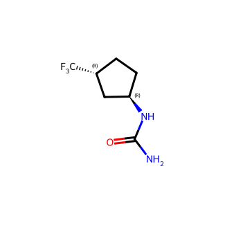 NC(=O)N[C@@H]1CC[C@@H](C(F)(F)F)C1